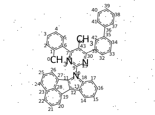 Cc1ccccc1-c1nc(-n2c3c(c4ccccc42)-c2cccc4cccc-3c24)nc(-c2cccc(-c3ccccc3)c2)c1C